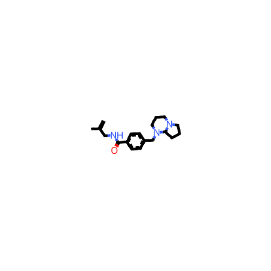 C=C(C)CNC(=O)c1ccc(CN2CCCN3CCCC32)cc1